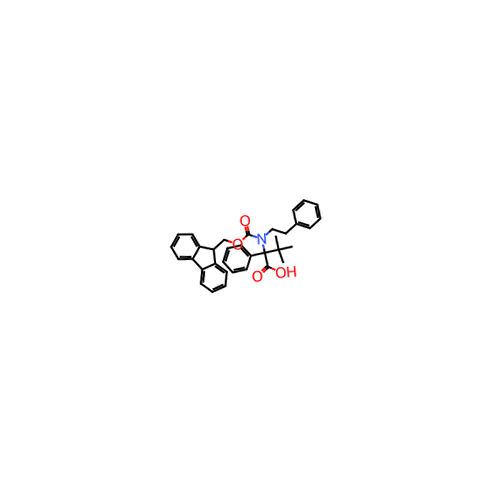 CC(C)(C)C(C(=O)O)(c1ccccc1)N(CCc1ccccc1)C(=O)OCC1c2ccccc2-c2ccccc21